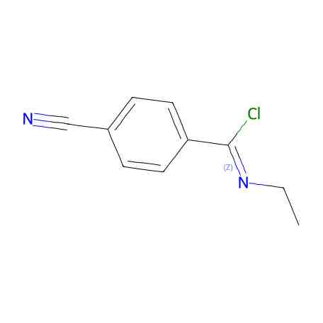 CC/N=C(\Cl)c1ccc(C#N)cc1